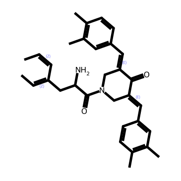 C/C=C\C(=C/C)CC(N)C(=O)N1C/C(=C\c2ccc(C)c(C)c2)C(=O)/C(=C/c2ccc(C)c(C)c2)C1